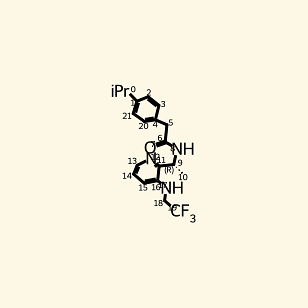 CC(C)c1ccc(CC(=O)N[C@H](C)c2ncccc2NCC(F)(F)F)cc1